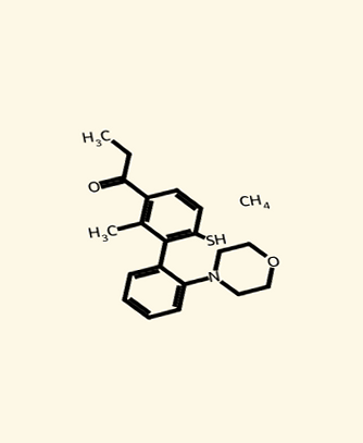 C.CCC(=O)c1ccc(S)c(-c2ccccc2N2CCOCC2)c1C